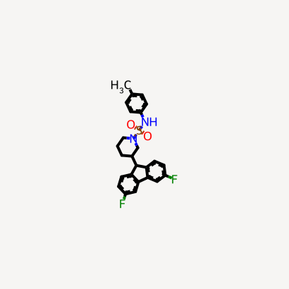 Cc1ccc(NS(=O)(=O)N2CCCC(C3c4ccc(F)cc4-c4cc(F)ccc43)C2)cc1